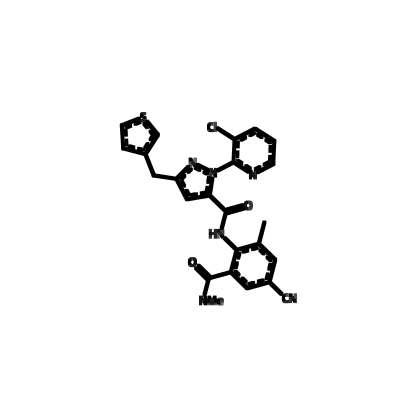 CNC(=O)c1cc(C#N)cc(C)c1NC(=O)c1cc(Cc2ccsc2)nn1-c1ncccc1Cl